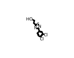 OCCc1nc(-c2ccc(Cl)c(Cl)c2)ns1